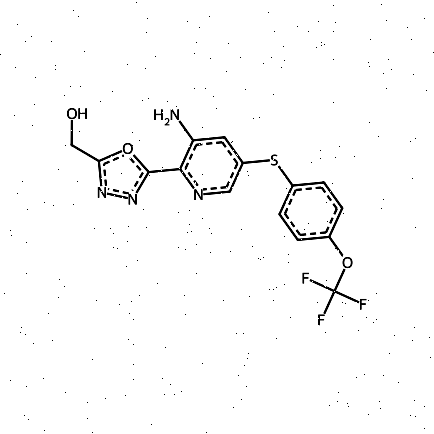 Nc1cc(Sc2ccc(OC(F)(F)F)cc2)cnc1-c1nnc(CO)o1